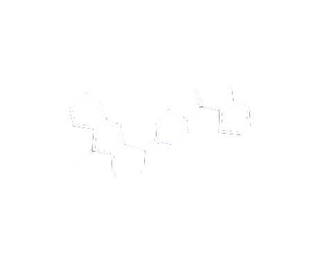 Cc1ccccc1C(=O)N1CCN(C(C)c2nc3ccccc3c(=O)n2C)CC1